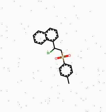 Cc1ccc(S(=O)(=O)CC(Br)c2cccc3ccccc23)cc1